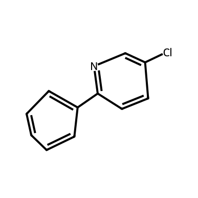 Clc1ccc(-c2ccccc2)nc1